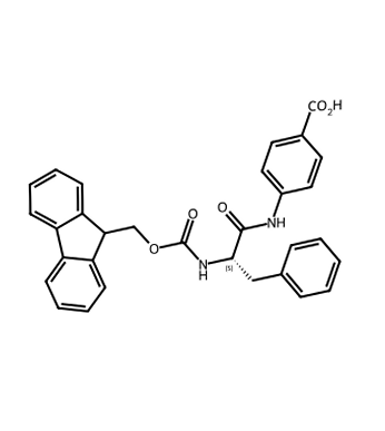 O=C(N[C@@H](Cc1ccccc1)C(=O)Nc1ccc(C(=O)O)cc1)OCC1c2ccccc2-c2ccccc21